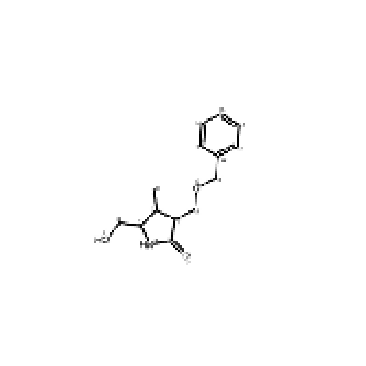 CC1C(CO)NC(=O)C1COCc1ccccc1